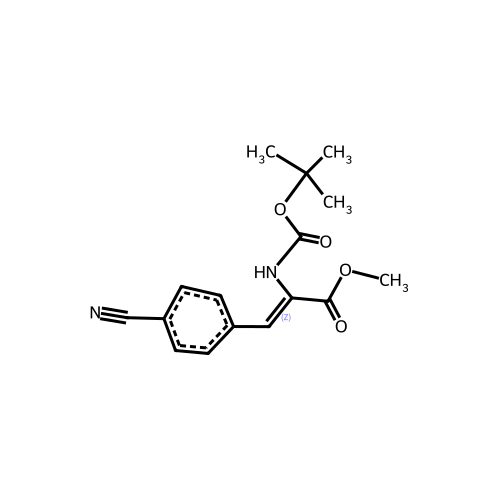 COC(=O)/C(=C/c1ccc(C#N)cc1)NC(=O)OC(C)(C)C